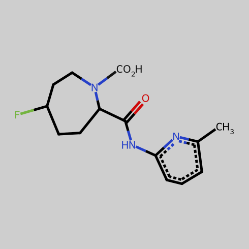 Cc1cccc(NC(=O)C2CCC(F)CCN2C(=O)O)n1